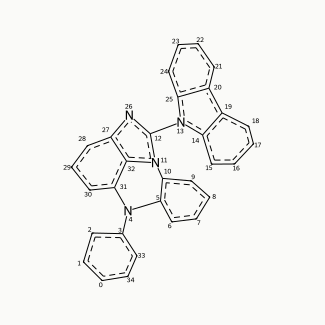 c1ccc(N2c3ccccc3-n3c(-n4c5ccccc5c5ccccc54)nc4cccc2c43)cc1